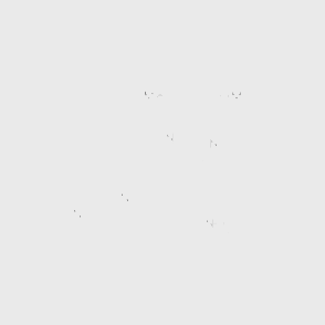 COc1nc2cc([N+](=O)[O-])cc(CNCC#N)c2nc1OC